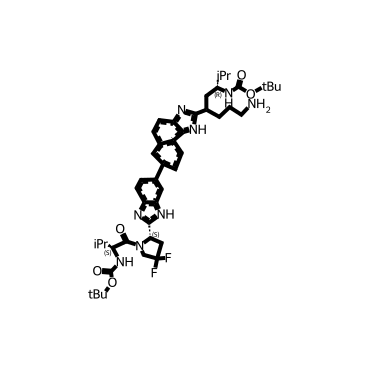 CC(C)[C@H](NC(=O)OC(C)(C)C)C(=O)N1CC(F)(F)C[C@H]1c1nc2ccc(-c3ccc4c(ccc5nc(C(CCCN)C[C@@H](NC(=O)OC(C)(C)C)C(C)C)[nH]c54)c3)cc2[nH]1